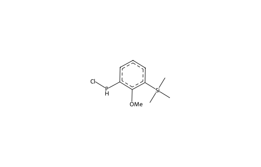 COc1c(PCl)cccc1[Si](C)(C)C